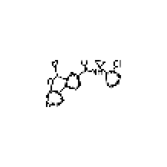 O=C(NC1(c2ccccc2Cl)CC1)c1ccc2c(c1)C(C1CC1)Oc1cnccc1-2